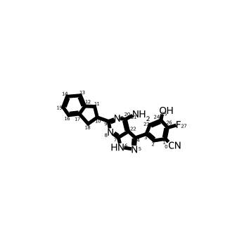 N#Cc1cc(-c2n[nH]c3nc(C4Cc5ccccc5C4)nc(N)c23)cc(O)c1F